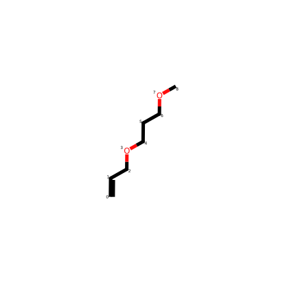 C=CCOCCCOC